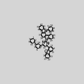 c1ccc(-c2cccc(-c3cc(-c4cccc5c4oc4ccccc45)nc(-n4c5ccccc5c5c4ccc4c6ccccc6n(-c6ccccc6)c45)n3)c2)cc1